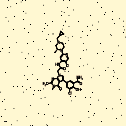 C[C@H]1CN(CC2CC2)CCN1c1cc(NC(=O)Cn2cc(-c3cc(Cl)c(O)c(C(N)=O)c3)c3c(=O)n(C)c(C(F)(F)F)nc32)c(Cl)cn1